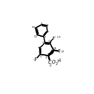 O=C(O)c1c(F)cc(-c2ccccc2)c(F)c1F